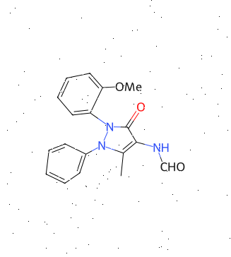 COc1ccccc1-n1c(=O)c(NC=O)c(C)n1-c1ccccc1